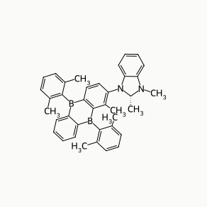 Cc1cccc(C)c1B1c2ccccc2B(c2c(C)cccc2C)c2c1ccc(N1c3ccccc3N(C)[C@@H]1C)c2C